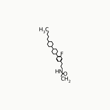 C=CC(=O)NCCCc1ccc(C2CCC(C3CCC(CCCCC)CC3)CC2)c(F)c1